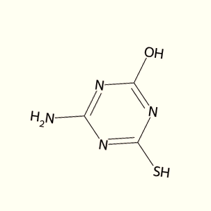 Nc1nc(O)nc(S)n1